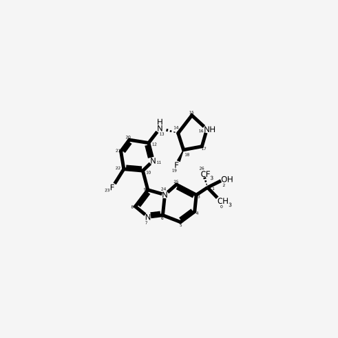 C[C@](O)(c1ccc2ncc(-c3nc(N[C@@H]4CNC[C@H]4F)ccc3F)n2c1)C(F)(F)F